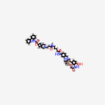 CN(CCCCC(=O)Nc1ccc(CNC[C@H](O[Si](C)(C)C(C)(C)C)c2ccc(O)c3c2OCC(=O)N3)cc1)C(=O)CCN1CCC2(CC1)CC(OC(=O)Nc1ccccc1-c1ccccc1)C2